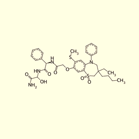 CCCCC1(CC)CN(c2ccccc2)c2cc(SC)c(OCC(=O)N[C@@H](C(=O)NC(O)C(N)=O)c3ccccc3)cc2S(=O)(=O)C1